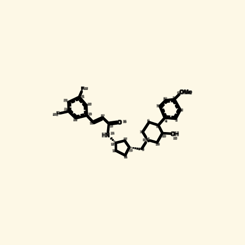 COc1ccc(C2CCN(C[C@@H]3CC[C@H](NC(=O)/C=C/c4cc(F)cc(F)c4)C3)CC2O)cc1